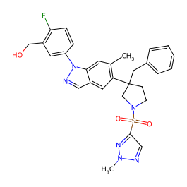 Cc1cc2c(cnn2-c2ccc(F)c(CO)c2)cc1C1(Cc2ccccc2)CCN(S(=O)(=O)c2cnn(C)n2)C1